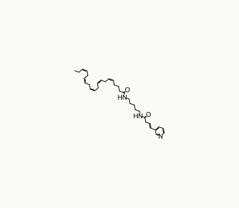 CC/C=C\C/C=C\C/C=C\C/C=C\C/C=C\CCCC(=O)NCCCCCNC(=O)C/C=C/c1cccnc1